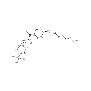 CNCCCCCCO[C@H]1CC[C@H](N(C)C(=S)Nc2ccc(C(F)(F)F)cc2)CC1